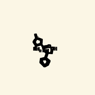 CN1C[C@H](N)[C@H](C(=O)N[C@@H](CO)c2ccccc2)C1